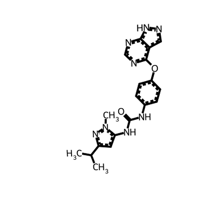 CC(C)c1cc(NC(=O)Nc2ccc(Oc3ncnc4[nH]ncc34)cc2)n(C)n1